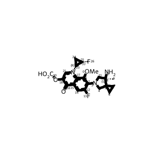 COc1c(N2CC3(CC3)[C@](C)(N)C2)c(F)cc2c(=O)c(OC(=O)O)cn([C@@H]3C[C@@H]3F)c12